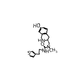 CN(CC1Cc2ccc(O)cc2CN1)C(=O)NCCc1ccsc1